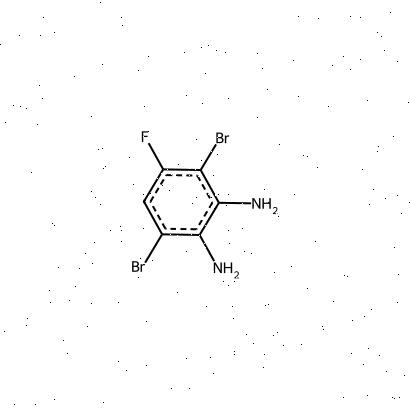 Nc1c(Br)cc(F)c(Br)c1N